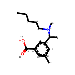 CCCCCN(C)C(C)c1cc(C)cc(C(=O)O)c1